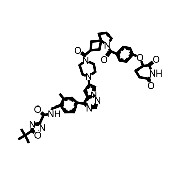 Cc1cc(-c2ncnn3cc(N4CCN(C(=O)C5CC6(CCCN6C(=O)c6ccc(OC7CCC(=O)NC7=O)cc6)C5)CC4)cc23)ccc1CNC(=O)c1noc(C(C)(C)C)n1